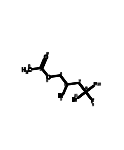 CC(=O)OCC(Br)CC(F)(F)Br